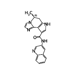 C[C@H]1Cc2[nH]cc(C(=O)Nc3cnc4ccccc4c3)c2-c2nccn21